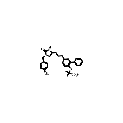 CN1C(=O)N(Cc2ccc(C(C)(C)C)cc2)CC1CCCc1ccc(OC(C)(C)C(=O)O)c(-c2ccccc2)c1